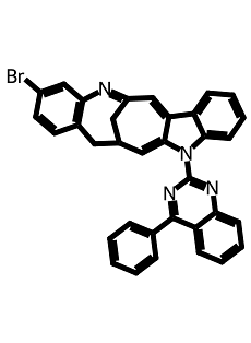 Brc1ccc2c(c1)N=C1C=c3c(n(-c4nc(-c5ccccc5)c5ccccc5n4)c4ccccc34)=CC(C1)C2